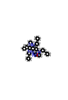 CC1(C)c2ccccc2-c2cc3c(N(c4ccccn4)c4cc(-c5ccccc5)ccn4)c4cc(N(c5cccc(-c6ccccc6)c5)c5ccccn5)ccc4c(N(c4cccc(-c5ccccc5)c4)c4ccccn4)c3cc21